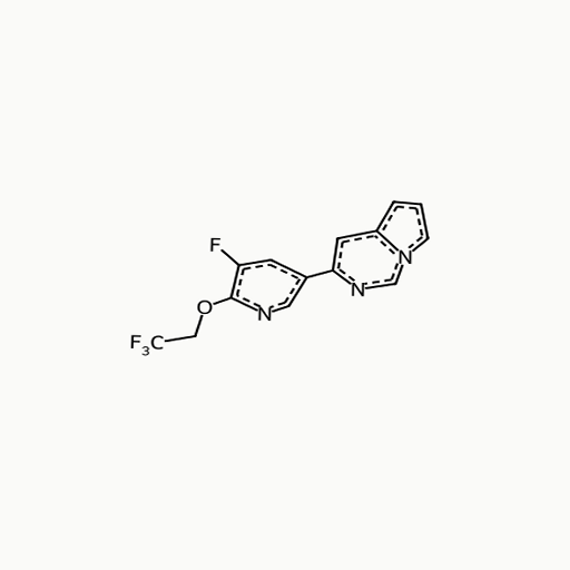 Fc1cc(-c2cc3cccn3cn2)cnc1OCC(F)(F)F